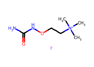 C[N+](C)(C)CCONC(N)=O.[I-]